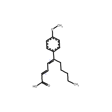 CCCCC/C(=C\C=C\C(=O)O)c1ccc(OC)cc1